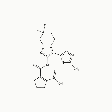 Cc1nsc(-c2c(NC(=O)C3=C(C(=O)O)CCC3)sc3c2CCC(F)(F)C3)n1